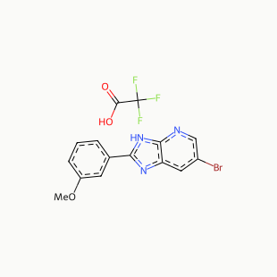 COc1cccc(-c2nc3cc(Br)cnc3[nH]2)c1.O=C(O)C(F)(F)F